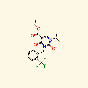 CCOC(=O)c1cn(C(C)C)c(=O)n(Cc2ccccc2C(F)(F)F)c1=O